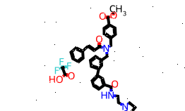 COC(=O)c1ccc(CN(Cc2cccc(-c3cccc(C(=O)NCCN4CCCC4)c3)c2)C(=O)/C=C/c2ccccc2)cc1.O=C(O)C(F)(F)F